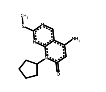 CSc1ncc2c(N)cc(=O)n(C3CCCC3)c2n1